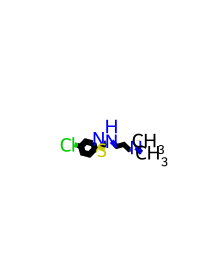 CN(C)CCCNc1nc2cc(Cl)ccc2s1